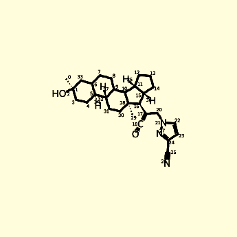 C[C@@]1(O)CC[C@H]2C(CCC3C4[C@@H]5CCC[C@@H]5[C@@H](C(=C=O)Cn5ccc(C#N)n5)[C@@]4(C)CC[C@@H]32)C1